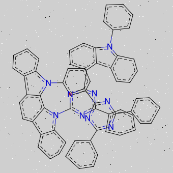 c1ccc(-c2nc(-c3ccccc3)nc(-c3cccc(-n4c5ccccc5c5ccc6c7ccccc7n(-c7nc(-c8ccccc8)nc(-c8cccc9c8c8ccccc8n9-c8ccccc8)n7)c6c54)c3)n2)cc1